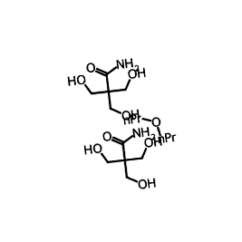 CCCOCCC.NC(=O)C(CO)(CO)CO.NC(=O)C(CO)(CO)CO